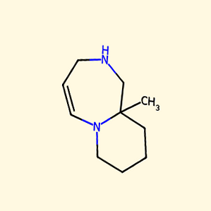 CC12CCCCN1C=CCNC2